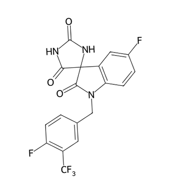 O=C1NC(=O)C2(N1)C(=O)N(Cc1ccc(F)c(C(F)(F)F)c1)c1ccc(F)cc12